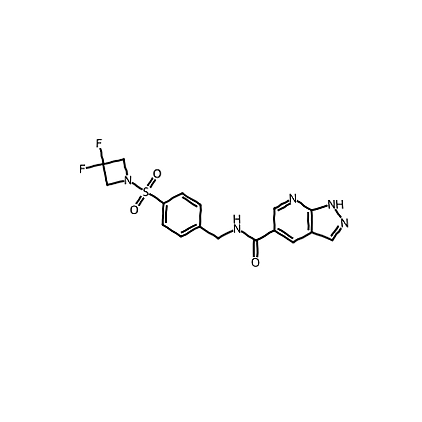 O=C(NCc1ccc(S(=O)(=O)N2CC(F)(F)C2)cc1)c1cnc2[nH]ncc2c1